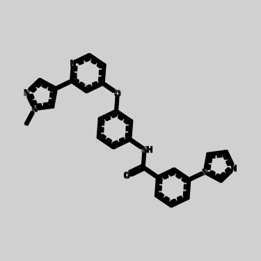 Cn1cc(-c2cc(Oc3cccc(NC(=O)c4cccc(-n5ccnc5)c4)c3)ccn2)cn1